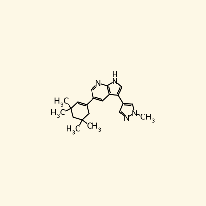 Cn1cc(-c2c[nH]c3ncc(C4=CC(C)(C)CC(C)(C)C4)cc23)cn1